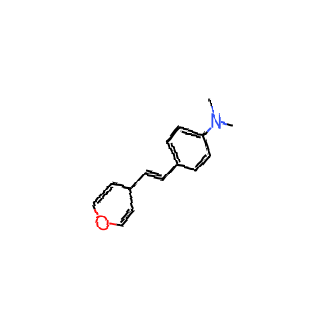 CN(C)c1ccc(C=CC2C=COC=C2)cc1